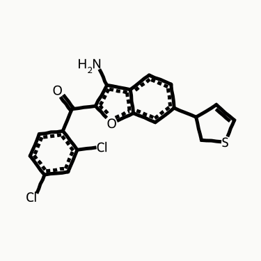 Nc1c(C(=O)c2ccc(Cl)cc2Cl)oc2cc(C3C=CSC3)ccc12